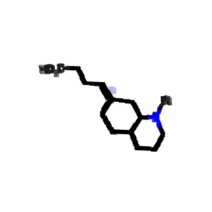 CCN1CCCC2CC/C(=C\CCC(=O)O)CC21